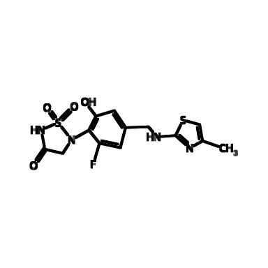 Cc1csc(NCc2cc(O)c(N3CC(=O)NS3(=O)=O)c(F)c2)n1